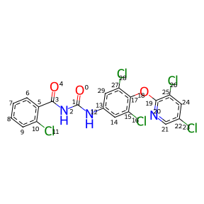 O=C(NC(=O)c1ccccc1Cl)Nc1cc(Cl)c(Oc2ncc(Cl)cc2Cl)c(Cl)c1